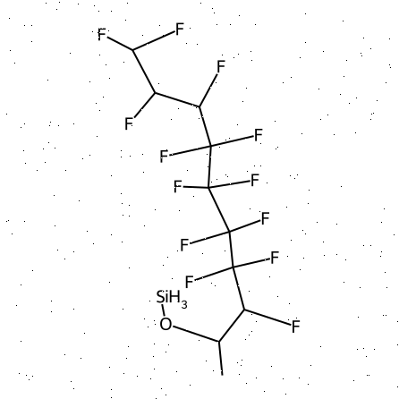 CC(O[SiH3])C(F)C(F)(F)C(F)(F)C(F)(F)C(F)(F)C(F)C(F)C(F)F